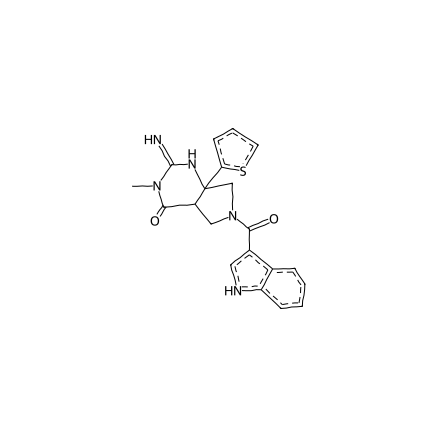 CN1C(=N)NC2(c3cccs3)CN(C(=O)c3c[nH]c4ccccc34)CC2C1=O